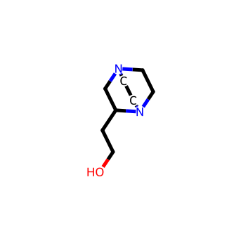 OCCC1CN2CCN1CC2